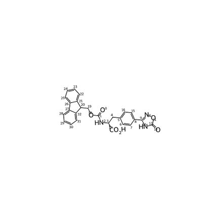 O=C(N[C@@H](Cc1ccc(-c2noc(=O)[nH]2)cc1)C(=O)O)OCC1c2ccccc2-c2ccccc21